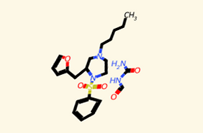 CCCCCN1CCN(S(=O)(=O)c2ccccc2)C(Cc2ccco2)C1.NC(=O)NC=O